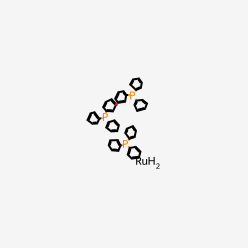 [RuH2].c1ccc(P(c2ccccc2)c2ccccc2)cc1.c1ccc(P(c2ccccc2)c2ccccc2)cc1.c1ccc(P(c2ccccc2)c2ccccc2)cc1